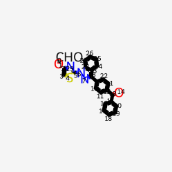 O=COc1csc(-n2nc(-c3ccc(C(=O)c4ccccc4)cc3)c3ccccc32)n1